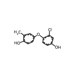 Cc1cc(Oc2ccc(O)cc2Cl)ccc1O